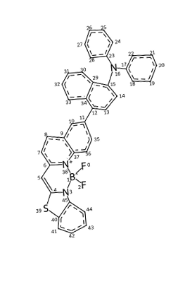 F[B-]1(F)N2C(=Cc3ccc4cc(-c5ccc(N(c6ccccc6)c6ccccc6)c6ccccc56)ccc4[n+]31)Sc1ccccc12